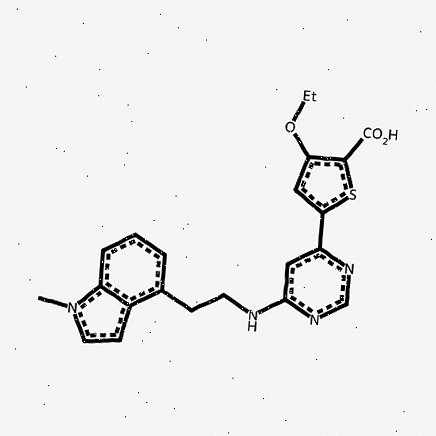 CCOc1cc(-c2cc(NCCc3cccc4c3ccn4C)ncn2)sc1C(=O)O